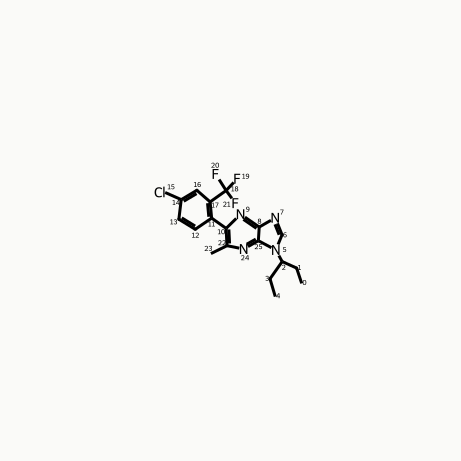 CCC(CC)n1cnc2nc(-c3ccc(Cl)cc3C(F)(F)F)c(C)nc21